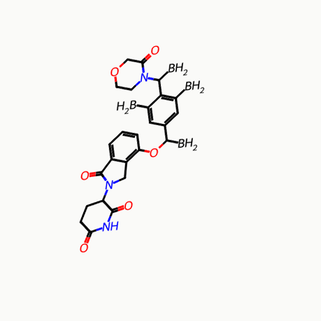 Bc1cc(C(B)Oc2cccc3c2CN(C2CCC(=O)NC2=O)C3=O)cc(B)c1C(B)N1CCOCC1=O